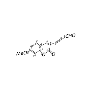 COc1ccc2cc(C#CC=O)c(=O)oc2c1